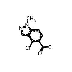 Cn1ncc2c(Cl)c(C(=O)Cl)ccc21